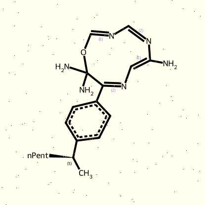 CCCCC[C@H](C)c1ccc(/C2=N/C=C(N)/N=C\N=C\OC2(N)N)cc1